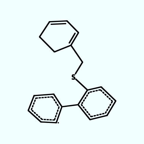 [c]1ccccc1-c1ccccc1SCC1=CC=CCC1